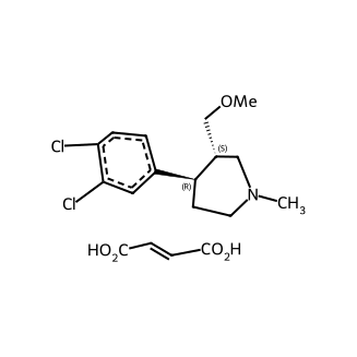 COC[C@@H]1CN(C)CC[C@H]1c1ccc(Cl)c(Cl)c1.O=C(O)C=CC(=O)O